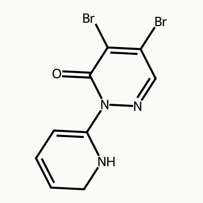 O=c1c(Br)c(Br)cnn1C1=CC=CCN1